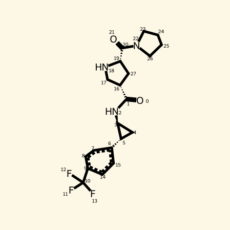 O=C(N[C@H]1C[C@@H]1c1ccc(C(F)(F)F)cc1)[C@@H]1CN[C@H](C(=O)N2CCCC2)C1